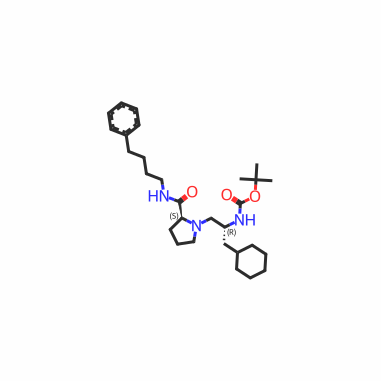 CC(C)(C)OC(=O)N[C@H](CC1CCCCC1)CN1CCC[C@H]1C(=O)NCCCCc1ccccc1